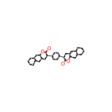 O=c1oc2cc3ccccc3cc2cc1-c1ccc(-c2cc3cc4ccccc4cc3oc2=O)cc1